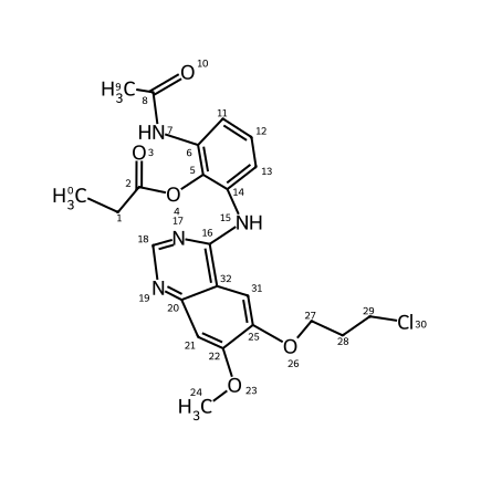 CCC(=O)Oc1c(NC(C)=O)cccc1Nc1ncnc2cc(OC)c(OCCCCl)cc12